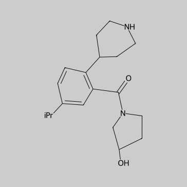 CC(C)c1ccc(C2CCNCC2)c(C(=O)N2CCC(O)C2)c1